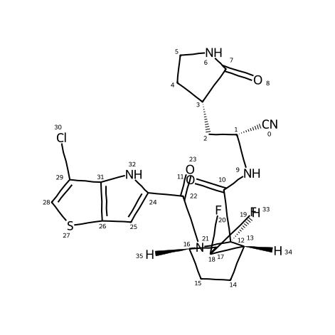 N#C[C@@H](C[C@@H]1CCNC1=O)NC(=O)[C@H]1[C@@H]2CC[C@@H](CC2(F)F)N1C(=O)c1cc2scc(Cl)c2[nH]1